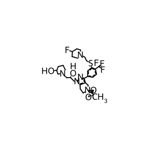 CS(=O)(=O)N1CCc2c(c(-c3ccc(C(F)(F)F)c(SCCN4CCC(F)CC4)c3)nn2CC(O)CN2CCCC(O)C2)C1